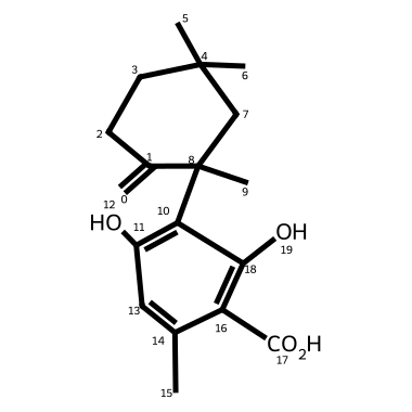 C=C1CCC(C)(C)CC1(C)c1c(O)cc(C)c(C(=O)O)c1O